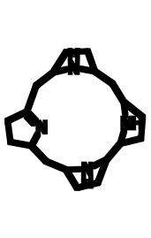 C1CC2CC3CCC(N3)C3CCC(CC4CCC(CC1=N2)N4)N3